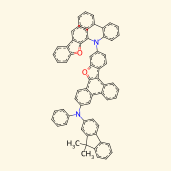 CC1(C)c2ccccc2-c2ccc(N(c3ccccc3)c3ccc4c(c3)c3ccccc3c3c5ccc(N(c6ccccc6-c6ccccc6)c6cccc7c6oc6ccccc67)cc5oc43)cc21